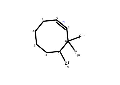 CCC1CCCC/C=C\C1(F)F